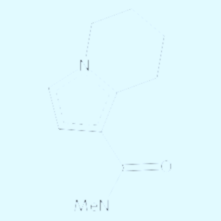 CNC(=O)c1ccn2c1CCCC2